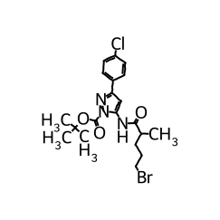 CC(CCCBr)C(=O)Nc1cc(-c2ccc(Cl)cc2)nn1C(=O)OC(C)(C)C